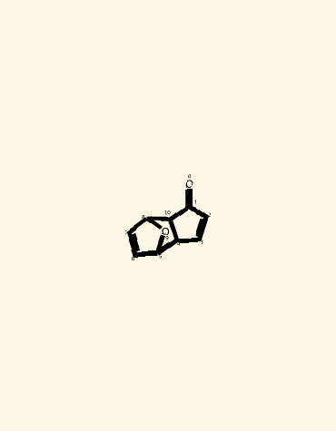 O=C1C=CC2C3C=CC(O3)C12